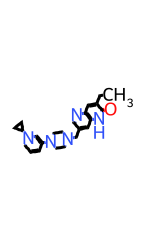 CCc1cc2ncc(CN3CCN(C4=CN(C5CC5)CC=C4)CC3)cc2[nH]c1=O